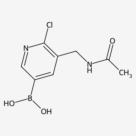 CC(=O)NCc1cc(B(O)O)cnc1Cl